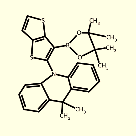 CC1(C)c2ccccc2N(c2sc3ccsc3c2B2OC(C)(C)C(C)(C)O2)c2ccccc21